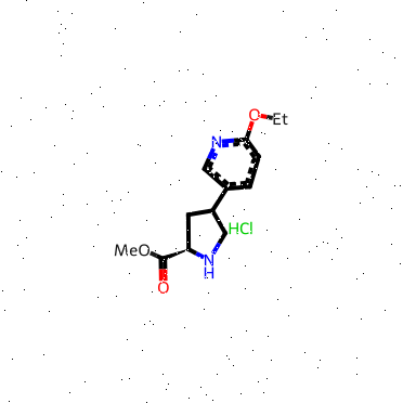 CCOc1ccc(C2CN[C@@H](C(=O)OC)C2)cn1.Cl